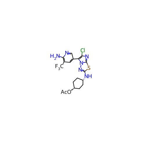 CC(=O)O[C@H]1CC[C@H](Nc2nn3c(-c4cnc(N)c(C(F)(F)F)c4)c(Cl)nc3s2)CC1